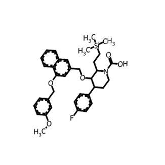 COc1cccc(COc2cc(COC3C(c4ccc(F)cc4)CCN(C(=O)O)C3CC[Si](C)(C)C)cc3ccccc23)c1